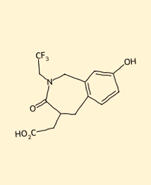 O=C(O)CC1Cc2ccc(O)cc2CN(CC(F)(F)F)C1=O